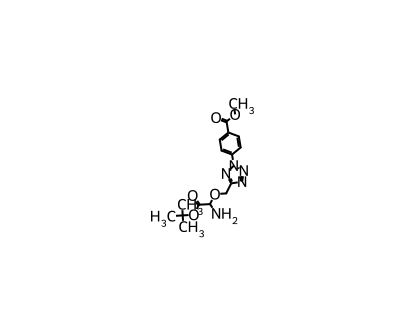 COC(=O)c1ccc(-n2nnc(COC(N)C(=O)OC(C)(C)C)n2)cc1